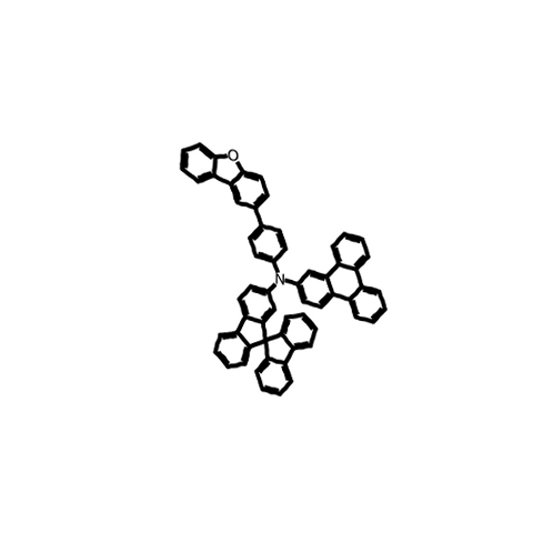 c1ccc2c(c1)-c1ccccc1C21c2ccccc2-c2ccc(N(c3ccc(-c4ccc5oc6ccccc6c5c4)cc3)c3ccc4c5ccccc5c5ccccc5c4c3)cc21